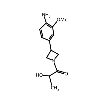 COc1cc(C2CN(C(=O)C(C)O)C2)ccc1N